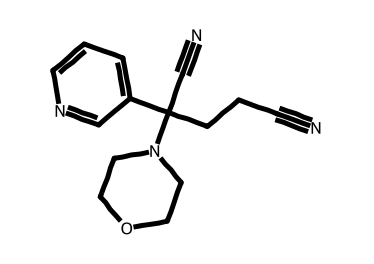 N#CCCC(C#N)(c1cccnc1)N1CCOCC1